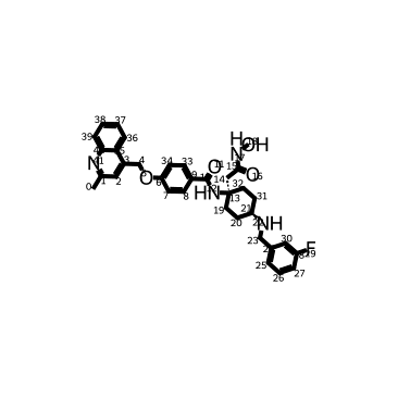 Cc1cc(COc2ccc(C(=O)N[C@]3(CC(=O)NO)CC[C@H](NCc4cccc(F)c4)CC3)cc2)c2ccccc2n1